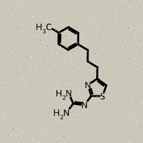 Cc1ccc(CCCc2csc(N=C(N)N)n2)cc1